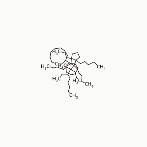 [CH2]CC(CCCCC)C(CCC)(CCCCC)C(CC)(CCCCC)C1(CCCCC)CCCC1(CCC)C1([C]2CCCCCCCCC2)CCCCCC1